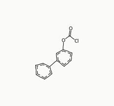 O=C(Cl)Oc1cccc(-c2ccccc2)c1